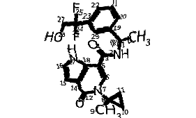 C[C@@H](NC(=O)c1cn(C2(C)CC2)c(=O)c2cc[nH]c12)c1cccc(C(F)(F)CO)c1